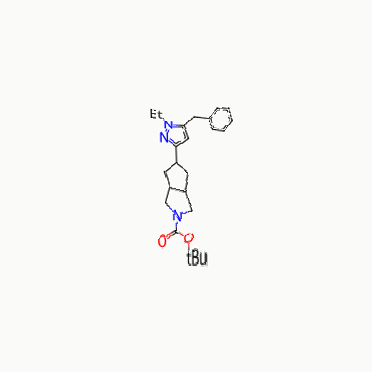 CCn1nc(C2CC3CN(C(=O)OC(C)(C)C)CC3C2)cc1Cc1ccccc1